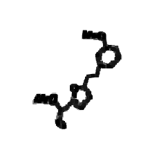 COC(=O)c1ccc(CCc2cccc(OC)c2)o1